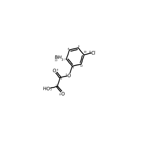 O=C(O)C(=O)Oc1cccc(Cl)c1.[BiH3]